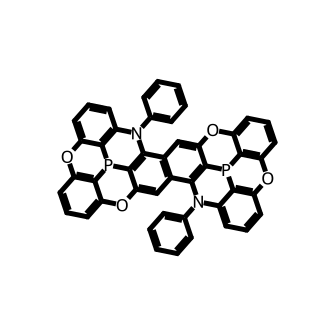 c1ccc(-n2c3cccc4oc5cccc6oc7cc8c(cc9oc%10cccc%11oc%12cccc%13c%12p(c%11%10)c9c8n%13-c8ccccc8)c2c7p(c56)c43)cc1